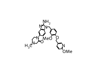 COc1ccc(COc2ccc(Cn3c(N)nc4cc(N5CCN(C)CC5=O)ccc43)cc2OC)cn1